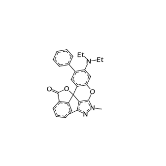 CCN(CC)c1cc2c(cc1-c1ccccc1)C1(OC(=O)c3ccccc31)c1c(C)nn(C)c1O2